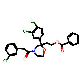 O=C(OCCC1(c2ccc(Cl)c(Cl)c2)CN(C(=O)Cc2cccc(Cl)c2)CCO1)c1ccccc1